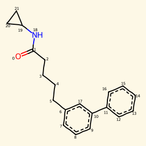 O=C(CCCCc1cccc(-c2ccccc2)c1)NC1CC1